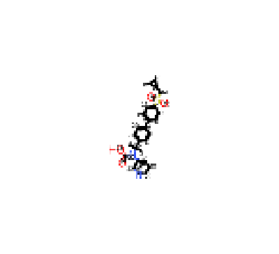 CC(C)(c1ccc(-c2ccc(S(=O)(=O)CC3CC3)cc2)cc1)N(C(=O)O)C1CN2CCC1CC2